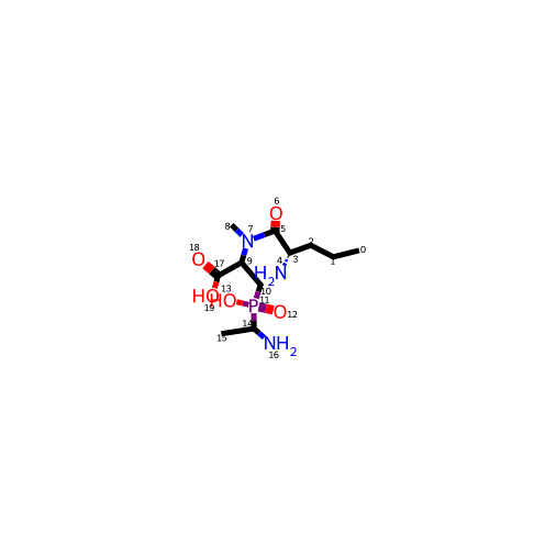 CCC[C@H](N)C(=O)N(C)C(CP(=O)(O)C(C)N)C(=O)O